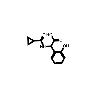 O=C(NC(C(=O)O)c1ccccc1O)C1CC1